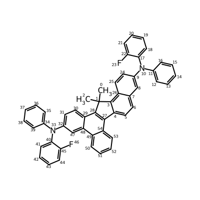 CC1(C)c2c(ccc3cc(N(c4ccccc4)c4ccccc4F)ccc23)-c2c1c1ccc(N(c3ccccc3)c3ccccc3F)cc1c1ccccc21